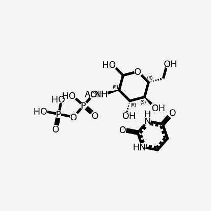 CC(=O)N[C@H]1C(O)O[C@H](CO)[C@@H](O)[C@@H]1O.O=P(O)(O)OP(=O)(O)O.O=c1cc[nH]c(=O)[nH]1